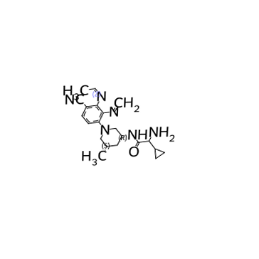 C=Nc1c(N2C[C@@H](C)C[C@@H](NC(=O)C(N)C3CC3)C2)ccc(C#N)c1/N=C\C